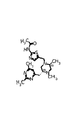 CC(=O)Nc1ncc(CN2C[C@@H](Cc3cc(C)nc(C)n3)N(C)C[C@@H]2C)s1